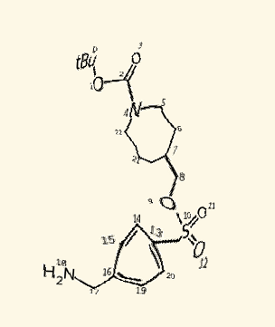 CC(C)(C)OC(=O)N1CCC(COS(=O)(=O)c2ccc(CN)cc2)CC1